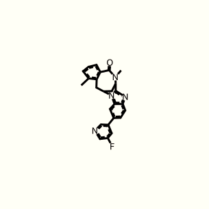 Cc1cccc2c1CC1CC(c3nc4ccc(-c5cncc(F)c5)cc4n31)N(C)C2=O